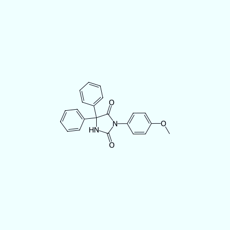 COc1ccc(N2C(=O)NC(c3ccccc3)(c3ccccc3)C2=O)cc1